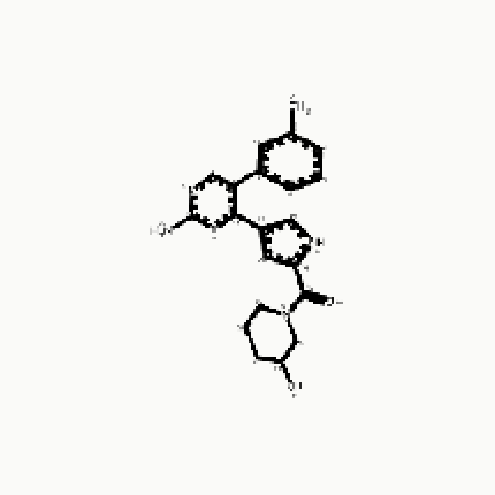 Cc1cccc(-c2cnc(N)nc2-c2c[nH]c(C(=O)N3CCCC(O)C3)c2)c1